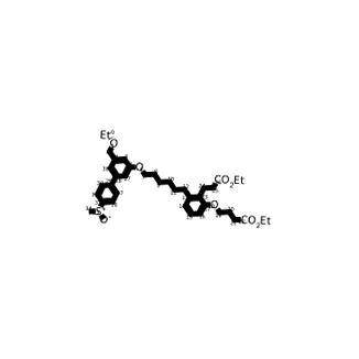 CCOCc1cc(OCCCCCCc2cccc(OCCCC(=O)OCC)c2CCC(=O)OCC)cc(-c2ccc([S+](C)[O-])cc2)c1